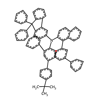 CC(C)(C)c1ccc(-c2ccc(N(c3ccc4c(c3)-c3ccccc3C4(c3ccccc3)c3ccccc3)c3ccc4ccccc4c3-c3cccc(-c4ccccc4)c3)c(-c3ccccc3)c2)cc1